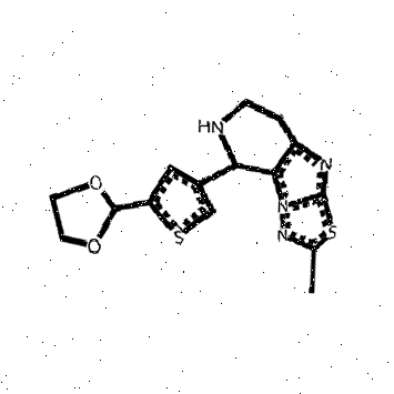 Cc1nn2c3c(nc2s1)CCNC3c1csc(C2OCCO2)c1